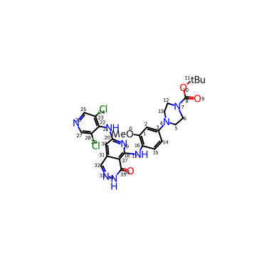 COc1cc(N2CCN(C(=O)OC(C)(C)C)CC2)ccc1Nc1nc(Nc2c(Cl)cncc2Cl)cc2cn[nH]c(=O)c12